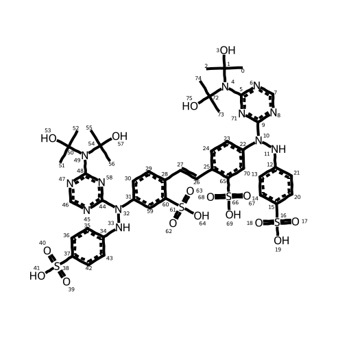 CC(C)(O)N(c1ncnc(N(Nc2ccc(S(=O)(=O)O)cc2)c2ccc(C=Cc3ccc(N(Nc4ccc(S(=O)(=O)O)cc4)c4ncnc(N(C(C)(C)O)C(C)(C)O)n4)cc3S(=O)(=O)O)c(S(=O)(=O)O)c2)n1)C(C)(C)O